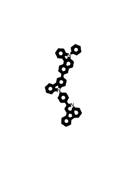 c1ccc(-n2c3ccccc3c3c4ccc(-c5ccc6c(c5)c5ccccc5n6-c5ccc(-c6cc7c8c(cccc8n6)-c6ccccc6-7)cc5)cc4ccc32)cc1